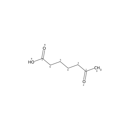 CC(=O)CCCCC(=O)O